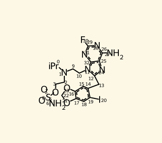 CC(C)N(CCOS(N)(=O)=O)CCn1c(Cc2cc3c(cc2I)OCO3)nc2c(N)nc(F)nc21